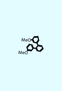 COc1cccc(-c2ccccc2-c2cccc(OC)c2)c1